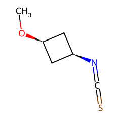 CO[C@H]1C[C@@H](N=C=S)C1